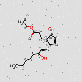 CCCCCC(O)C=C[C@H]1C=C[C@@H](O)[C@H]1CCC(=O)OCC